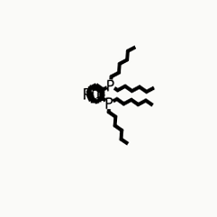 CCCCCCP(CCCCCC)[C]12[CH]3[CH]4[CH]5[C]1(P(CCCCCC)CCCCCC)[Ru]43521678[CH]2[CH]1[CH]6[CH]7[CH]28